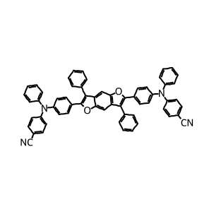 N#Cc1ccc(N(c2ccccc2)c2ccc(-c3oc4cc5c(-c6ccccc6)c(-c6ccc(N(c7ccccc7)c7ccc(C#N)cc7)cc6)oc5cc4c3-c3ccccc3)cc2)cc1